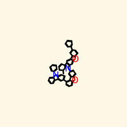 CC1CC=Cc2c1n(-c1ccc3oc4cccc(-c5ccc6c(c5)c5ccccc5n6-c5ccccc5)c4c3c1)c1cc3oc4ccc(-c5ccccc5)cc4c3cc21